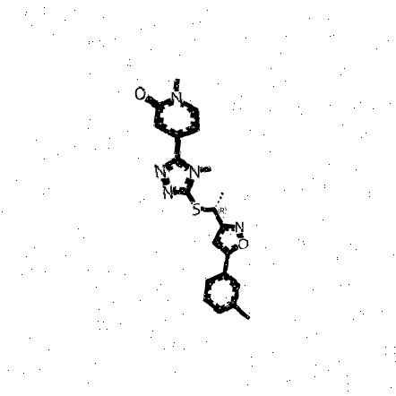 Cc1cccc(-c2cc([C@@H](C)Sc3nnc(-c4ccn(C)c(=O)c4)n3C)no2)c1